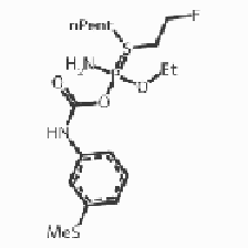 CCCCCS(CCF)=P(N)(OCC)OC(=O)Nc1cccc(SC)c1